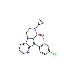 Cc1cc(Cl)ccc1-c1c2n(c3cccnc13)CCN(C1CC1)C2=O